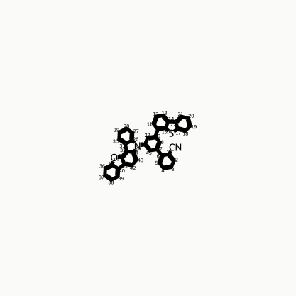 N#Cc1ccccc1-c1cc(-c2cccc3c2sc2ccccc23)cc(-n2c3ccccc3c3c4oc5ccccc5c4ccc32)c1